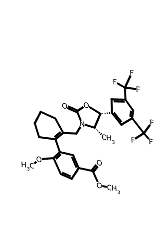 COC(=O)c1ccc(OC)c(C2=C(CN3C(=O)O[C@H](c4cc(C(F)(F)F)cc(C(F)(F)F)c4)[C@@H]3C)CCCC2)c1